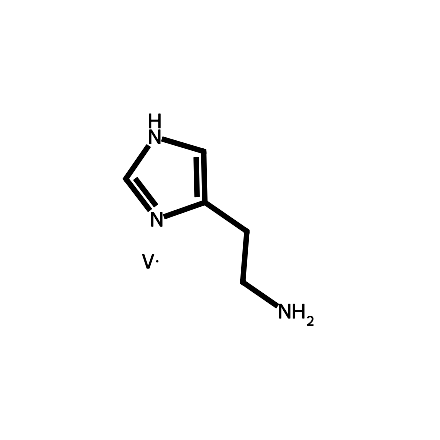 NCCc1c[nH]cn1.[V]